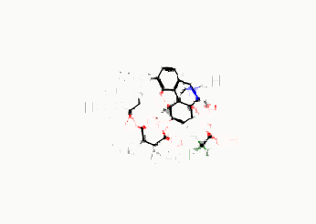 COc1ccc2c3c1O[C@H]1C(OC(=O)[C@H](OC(C)=O)[C@@H](OC(C)=O)C(=O)O[C@@H](CC(=O)O)C(=O)O)=CC[C@@]4(O)[C@@H](C2)N(C)CC[C@]314.O=C(O)C(F)(F)F